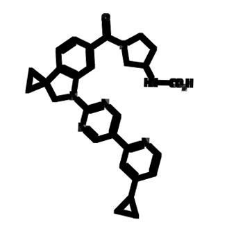 O=C(O)NC1CCN(C(=O)c2ccc3c(c2)N(c2ncc(-c4cc(C5CC5)ccn4)cn2)CC32CC2)C1